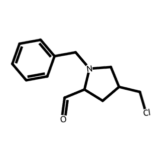 O=CC1CC(CCl)CN1Cc1ccccc1